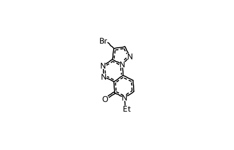 CCn1ccc2c(nnc3c(Br)cnn32)c1=O